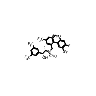 COc1cc(F)c(C(C)C)cc1-c1c(C)cc(C(F)(F)F)cc1CN(C=O)[C@@H](C)[C@H](O)c1cc(C(F)(F)F)cc(C(F)(F)F)c1